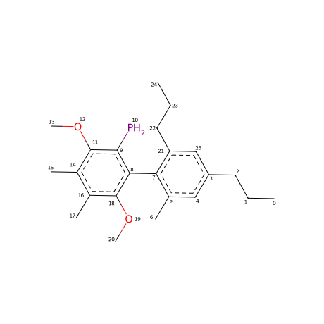 CCCc1cc(C)c(-c2c(P)c(OC)c(C)c(C)c2OC)c(CCC)c1